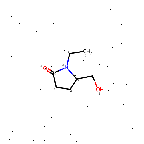 CCN1C(=O)CCC1CO